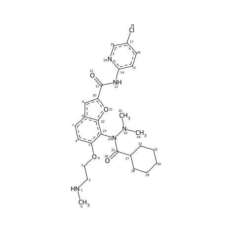 CNCCOc1ccc2cc(C(=O)Nc3ccc(Cl)cn3)oc2c1N(C(=O)C1CCCCC1)N(C)C